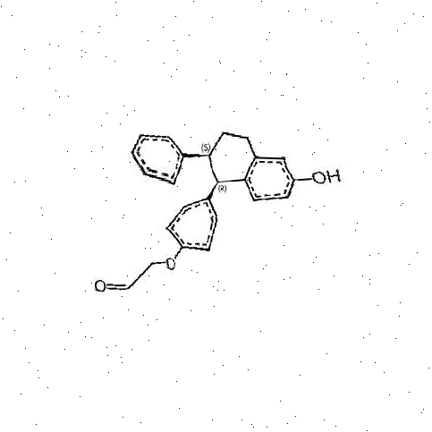 O=CCOc1ccc([C@@H]2c3ccc(O)cc3CC[C@@H]2c2ccccc2)cc1